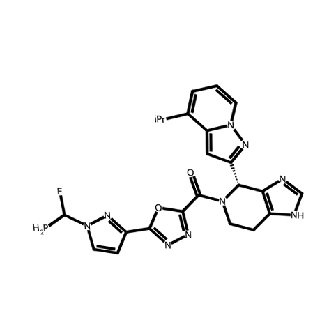 CC(C)c1cccn2nc([C@@H]3c4nc[nH]c4CCN3C(=O)c3nnc(-c4ccn(C(F)P)n4)o3)cc12